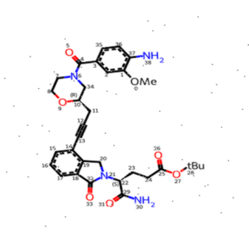 COc1cc(C(=O)N2CCO[C@H](CC#Cc3cccc4c3CN([C@@H](CCC(=O)OC(C)(C)C)C(N)=O)C4=O)C2)ccc1N